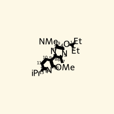 CCC(CC)Oc1nc(C)c(-c2ccc(C(C)C)nc2OC)nc1NC